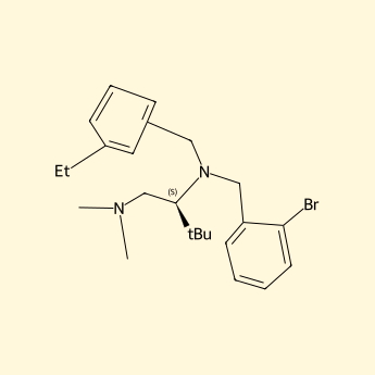 CCc1cccc(CN(Cc2ccccc2Br)[C@H](CN(C)C)C(C)(C)C)c1